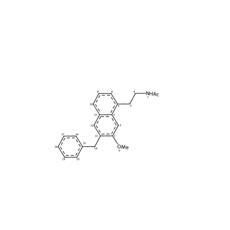 COc1cc2c(CCNC(C)=O)cccc2cc1Cc1ccccc1